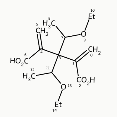 C=C(C(=O)O)C(C(=C)C(=O)O)(C(C)OCC)C(C)OCC